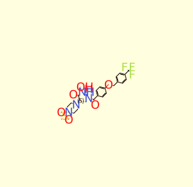 CS(=O)(=O)N1CCN([C@@H](CNC(=O)c2ccc(OCc3ccc(C(F)(F)F)cc3)cc2)C(=O)NO)CC1